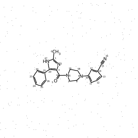 Cc1nc(C(=O)N2CCN(c3cccc(C#N)c3)CC2)c(-c2ccccc2)[nH]1